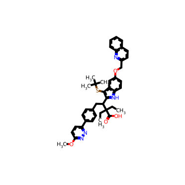 CCC(CC)(C(=O)O)C(Cc1ccc(-c2ccc(OC)nn2)cc1)c1[nH]c2ccc(OCc3ccc4ccccc4n3)cc2c1SC(C)(C)C